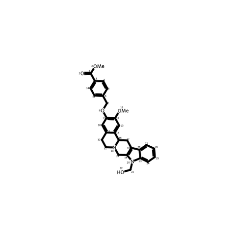 COC(=O)c1ccc(COc2cc3c(cc2OC)C2Cc4c(n(CO)c5ccccc45)CN2CC3)cc1